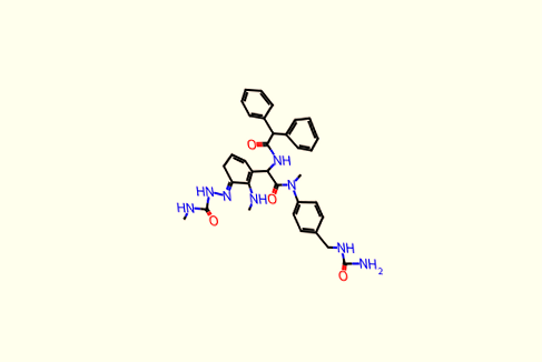 CNC(=O)NN=C1CC=CC(C(NC(=O)C(c2ccccc2)c2ccccc2)C(=O)N(C)c2ccc(CNC(N)=O)cc2)=C1NC